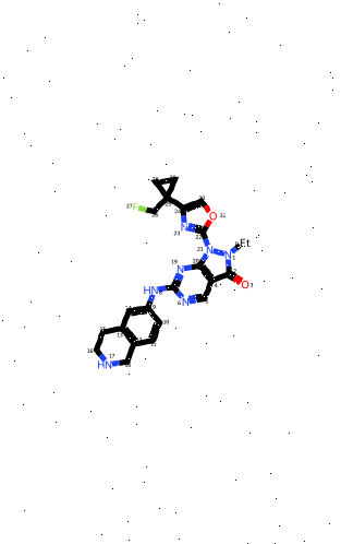 CCn1c(=O)c2cnc(Nc3ccc4c(c3)CCNC4)nc2n1-c1nc(C2(CF)CC2)co1